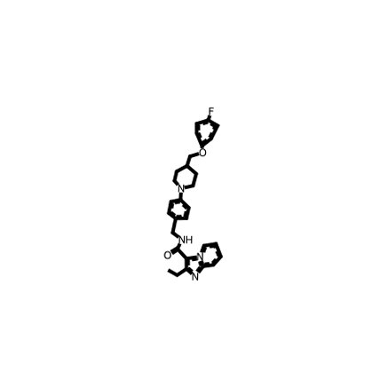 CCc1nc2ccccn2c1C(=O)NCc1ccc(N2CCC(COc3ccc(F)cc3)CC2)cc1